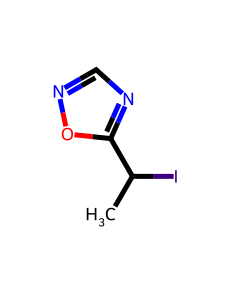 CC(I)c1ncno1